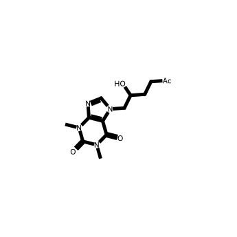 CC(=O)CCC(O)Cn1cnc2c1c(=O)n(C)c(=O)n2C